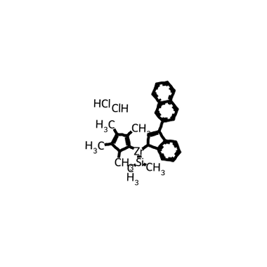 CC1=C(C)C(C)[C]([Zr]([CH]2C=C(c3ccc4ccccc4c3)c3ccccc32)=[Si](C)C)=C1C.Cl.Cl